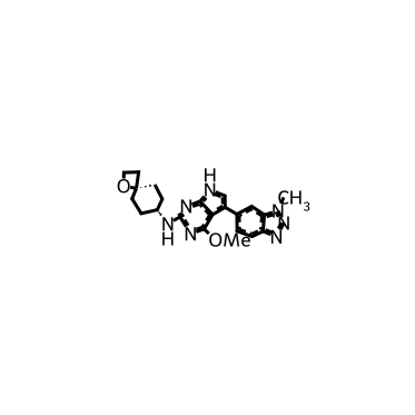 COc1nc(N[C@H]2CC[C@]3(CCO3)CC2)nc2[nH]cc(-c3ccc4nnn(C)c4c3)c12